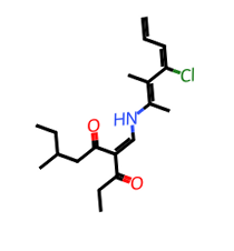 C=C/C=C(Cl)\C(C)=C(/C)N/C=C(/C(=O)CC)C(=O)CC(C)CC